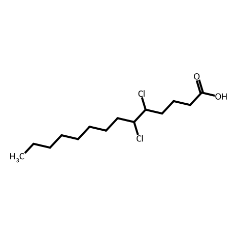 CCCCCCCCC(Cl)C(Cl)CCCC(=O)O